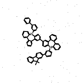 CC1(C)c2ccccc2-c2ccc(-c3cccc(N4c5ccccc5-c5ccccc5-c5cc(-c6ccc7c(c6)-c6ccccc6-c6ccccc6N7c6cccc(-c7ccccc7)c6)ccc54)c3)cc21